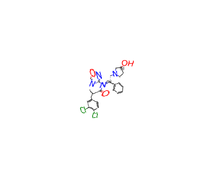 CC(C(=O)N(c1ncon1)[C@H](CN1CC[C@H](O)C1)c1ccccc1)c1ccc(Cl)c(Cl)c1